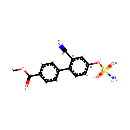 COC(=O)c1ccc(-c2ccc(OS(N)(=O)=O)cc2C#N)cc1